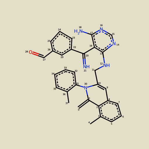 C=C1c2c(C)cccc2C=C(CNc2ncnc(N)c2C(=N)c2cccc(C=O)c2)N1c1ccccc1C